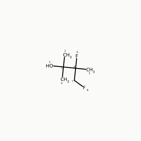 CC(C)(O)C(C)(F)CF